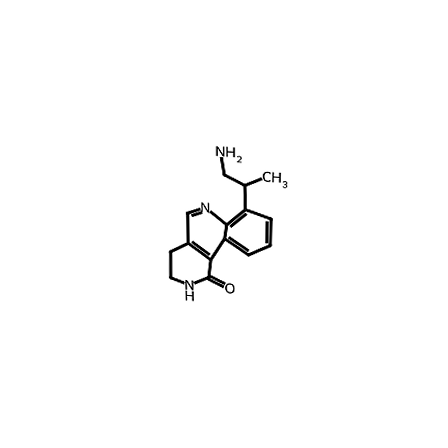 CC(CN)c1cccc2c3c(cnc12)CCNC3=O